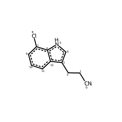 N#CCCc1c[nH]c2c(Cl)cccc12